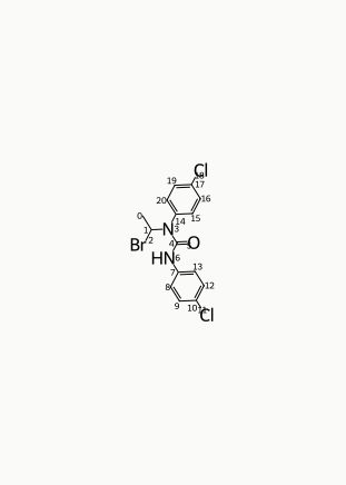 CC(Br)N(C(=O)Nc1ccc(Cl)cc1)c1ccc(Cl)cc1